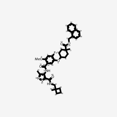 COc1cc(F)c(OC2CCC(C)(C(=O)OCc3cccc4ccccc34)CC2)cc1C(=O)Nc1c(C)nsc1C(=O)NCC1(C)CCC1